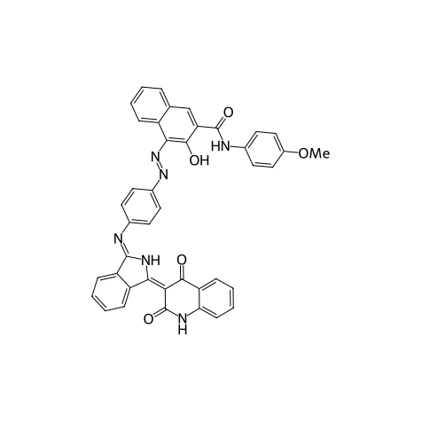 COc1ccc(NC(=O)c2cc3ccccc3c(N=Nc3ccc(/N=C4\N/C(=C5/C(=O)Nc6ccccc6C5=O)c5ccccc54)cc3)c2O)cc1